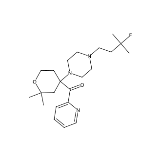 CC(C)(F)CCN1CCN(C2(C(=O)c3ccccn3)CCOC(C)(C)C2)CC1